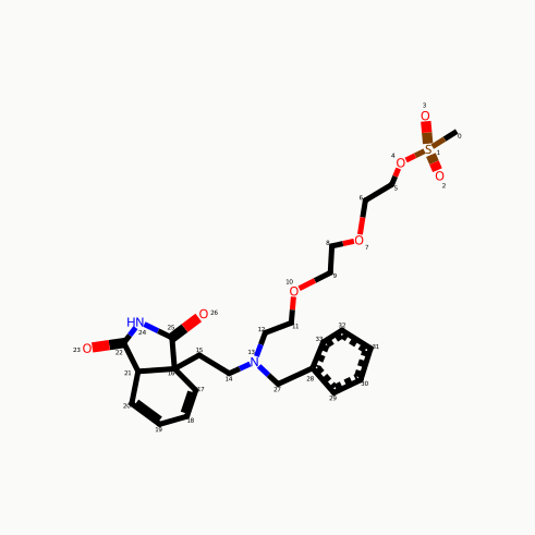 CS(=O)(=O)OCCOCCOCCN(CCC12C=CC=CC1C(=O)NC2=O)Cc1ccccc1